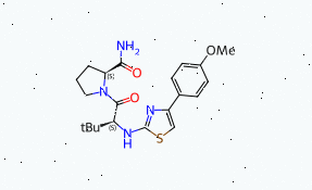 COc1ccc(-c2csc(N[C@H](C(=O)N3CCC[C@H]3C(N)=O)C(C)(C)C)n2)cc1